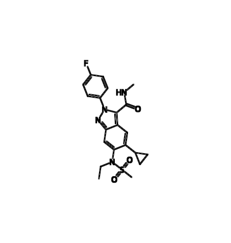 CCN(c1cc2nn(-c3ccc(F)cc3)c(C(=O)NC)c2cc1C1CC1)S(C)(=O)=O